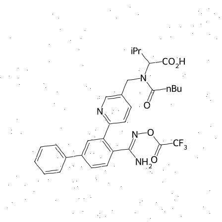 CCCCC(=O)N(Cc1ccc(-c2cc(-c3ccccc3)ccc2C(N)=NOC(=O)C(F)(F)F)nc1)C(C(=O)O)C(C)C